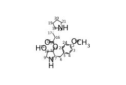 COc1ccc(C[C@H]2NC[C@H](O)[C@H]2OC(=O)CC[C@@H]2CCCN2)cc1